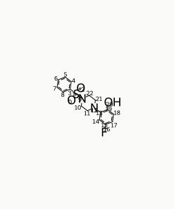 O=S(=O)(c1ccccc1)N1CCN(c2cc(F)ccc2O)CC1